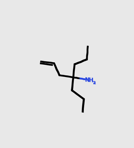 C=CCC(N)(CCC)CCC